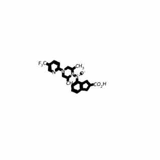 CC1CN(c2ccc(C(F)(F)F)cn2)CC(C)N1[S+]([O-])c1cccc2c1CC(C(=O)O)C2